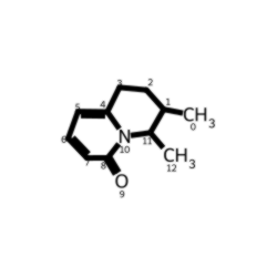 CC1CCc2cccc(=O)n2C1C